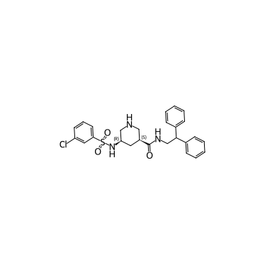 O=C(NCC(c1ccccc1)c1ccccc1)[C@@H]1CNC[C@H](NS(=O)(=O)c2cccc(Cl)c2)C1